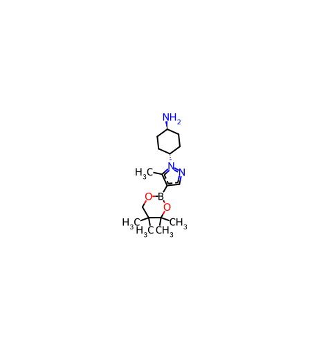 Cc1c(B2OCC(C)(C)C(C)(C)O2)cnn1[C@H]1CC[C@H](N)CC1